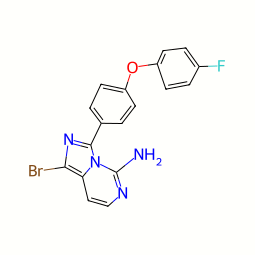 Nc1nccc2c(Br)nc(-c3ccc(Oc4ccc(F)cc4)cc3)n12